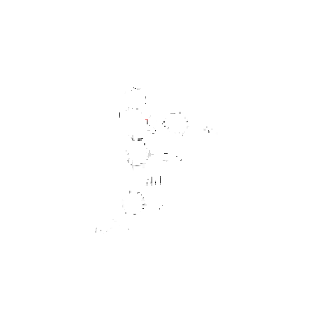 COc1ccc(CN2C3COC[C@H]2C[C@H](Oc2ncnc(Nc4ccc(S(C)(=O)=O)cc4F)c2C)C3)cc1